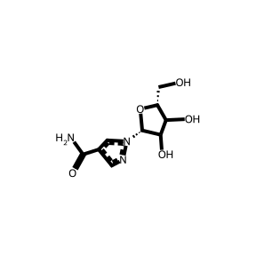 NC(=O)c1cnn([C@@H]2O[C@H](CO)C(O)C2O)c1